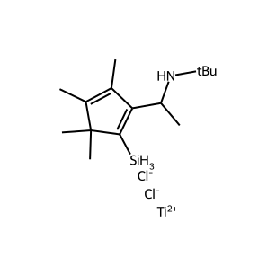 CC1=C(C)C(C)(C)C([SiH3])=C1C(C)NC(C)(C)C.[Cl-].[Cl-].[Ti+2]